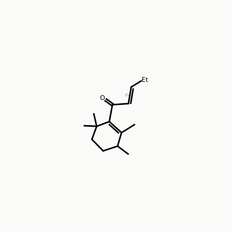 CC/C=C/C(=O)C1=C(C)C(C)CCC1(C)C